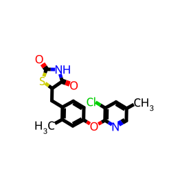 Cc1cnc(Oc2ccc(CC3SC(=O)NC3=O)c(C)c2)c(Cl)c1